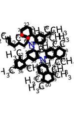 C=C/C=C\CCC(CC=C)N(c1ccc(C(C)(C)C)cc1-c1ccccc1)c1cc(-c2c(C)cc(C)cc2C)cc2c1Bc1cc3c(cc1N2c1ccc2c(c1)C(C)(C)CCC2(C)C)C(C)(C)CCC3(C)C